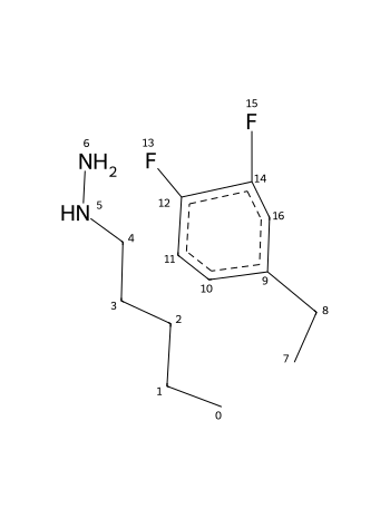 CCCCCNN.CCc1ccc(F)c(F)c1